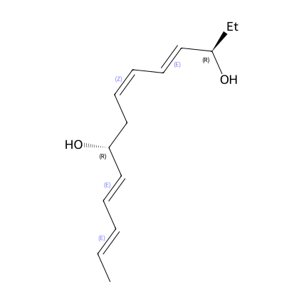 C/C=C/C=C/[C@H](O)C/C=C\C=C\[C@H](O)CC